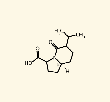 CC(C)C1CC[C@H]2CCC(C(=O)O)N2C1=O